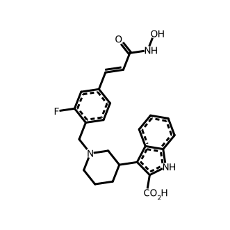 O=C(C=Cc1ccc(CN2CCCC(c3c(C(=O)O)[nH]c4ccccc34)C2)c(F)c1)NO